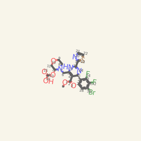 COC(=O)C1=C(CN2CCOC[C@@H]2OC(=O)O)NC(c2nccs2)=N[C@H]1c1ccc(Br)c(F)c1F